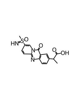 CC(C(=O)O)c1ccc2nc3ccc(S(C)(=N)=O)cn3c(=O)c2c1